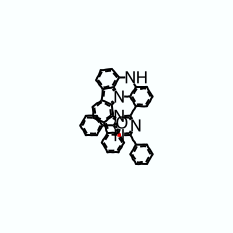 c1ccc(-c2nc(-c3ccccc3)nc(-c3cccc4c3-n3c5c(cccc5c5ccc6c7ccccc7oc6c53)N4)n2)cc1